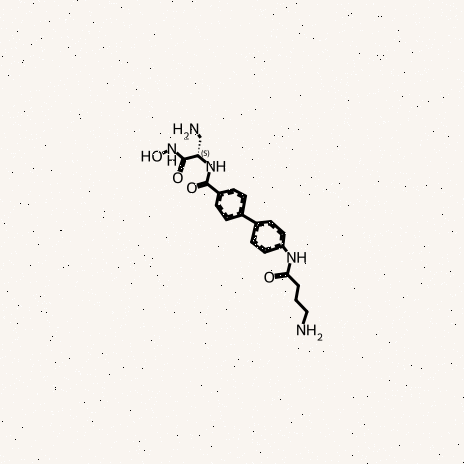 NCCCC(=O)Nc1ccc(-c2ccc(C(=O)N[C@@H](CN)C(=O)NO)cc2)cc1